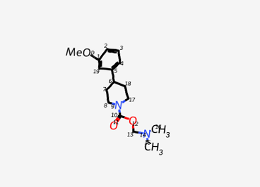 COc1cccc(C2CCN(C(=O)OCN(C)C)CC2)c1